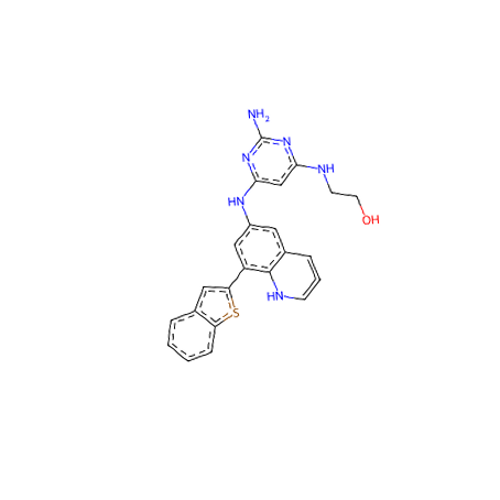 Nc1nc(NCCO)cc(Nc2cc3c(c(-c4cc5ccccc5s4)c2)NC=C=C3)n1